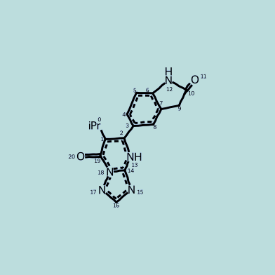 CC(C)c1c(-c2ccc3c(c2)CC(=O)N3)[nH]c2ncnn2c1=O